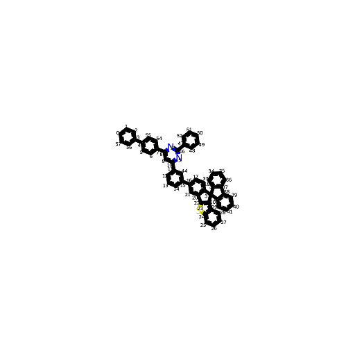 c1ccc(-c2ccc(-c3cc(-c4cccc(-c5ccc6c(c5)-c5sc7ccccc7c5C65c6ccccc6-c6ccccc65)c4)nc(-c4ccccc4)n3)cc2)cc1